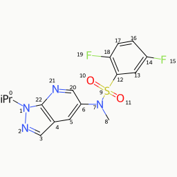 CC(C)n1ncc2cc(N(C)S(=O)(=O)c3cc(F)ccc3F)cnc21